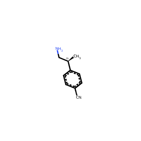 C[C@H](CN)c1ccc(C#N)cc1